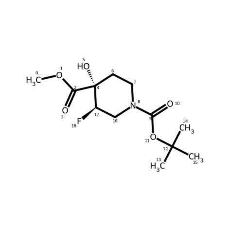 COC(=O)[C@@]1(O)CCN(C(=O)OC(C)(C)C)C[C@H]1F